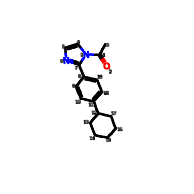 CC(=O)n1ccnc1-c1ccc(C2CCCCC2)cc1